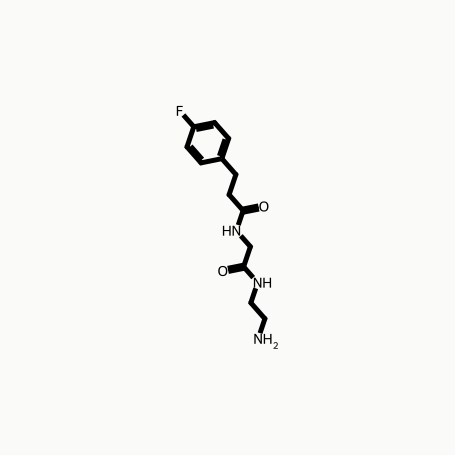 NCCNC(=O)CNC(=O)CCc1ccc(F)cc1